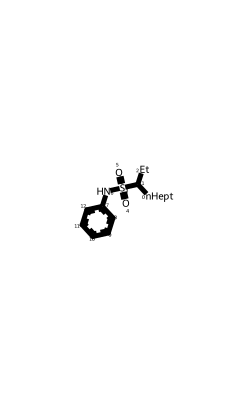 CCCCCCCC(CC)S(=O)(=O)Nc1ccccc1